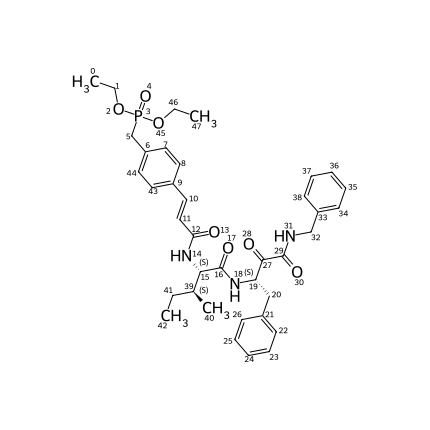 CCOP(=O)(Cc1ccc(C=CC(=O)N[C@H](C(=O)N[C@@H](Cc2ccccc2)C(=O)C(=O)NCc2ccccc2)[C@@H](C)CC)cc1)OCC